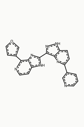 c1cncc(-c2ccc3[nH]nc(-c4nc5c(-c6ccoc6)nccc5[nH]4)c3n2)c1